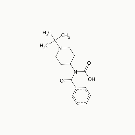 CC(C)(C)N1CCC(N(C(=O)O)C(=O)c2ccccc2)CC1